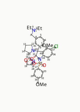 CCN(CC)Cc1ccc(OC)c(C2(N3CCC[C@H]3c3ncco3)C(=O)N(S(=O)(=O)c3ccc(OC)cc3)c3ccc(Cl)cc32)c1